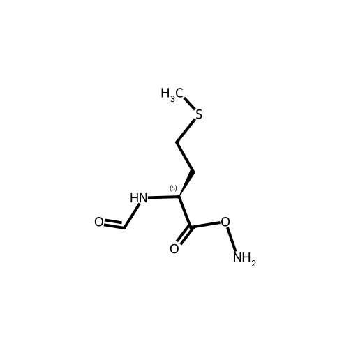 CSCC[C@H](NC=O)C(=O)ON